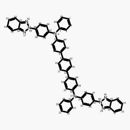 c1ccc(N(c2ccc(-c3ccc(-c4ccc(N(c5ccccc5)c5ccc(-n6nc7ccccc7n6)cc5)cc4)cc3)cc2)c2ccc(-n3nc4ccccc4n3)cc2)cc1